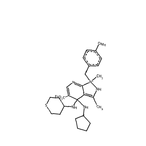 CCOC(=O)C1=CN=C2C(=C(C)N[N+]2(C)Cc2ccc(OC)cc2)C1(NC1CCCC1)NC1CCSCC1